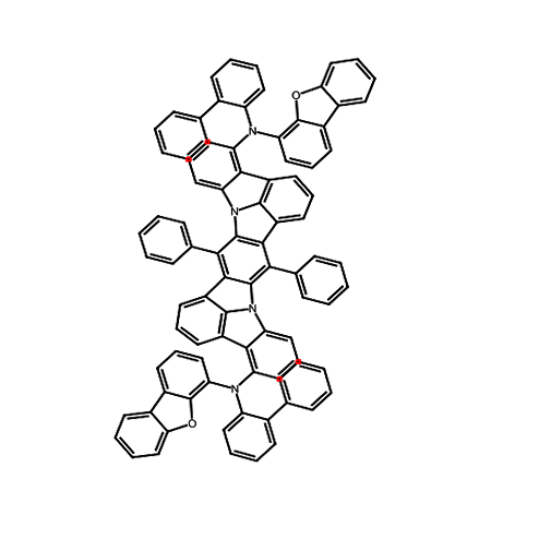 c1ccc(-c2ccccc2N(c2cccc3c2oc2ccccc23)c2cccc3c2c2cccc4c5c(-c6ccccc6)c6c(c(-c7ccccc7)c5n3c24)c2cccc3c4c(N(c5ccccc5-c5ccccc5)c5cccc7c5oc5ccccc57)cccc4n6c32)cc1